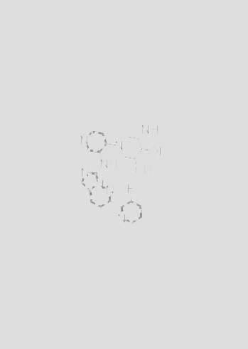 C[C@H]1CN(c2ccncc2Nc2ncc3ccc(-c4ncccc4F)nn23)C[C@H](N)[C@H]1O